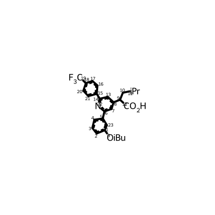 CC(C)COc1cccc(-c2cc(C(CC(C)C)C(=O)O)cc(-c3ccc(C(F)(F)F)cc3)n2)c1